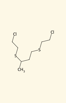 CC(CCSCCCl)SCCCl